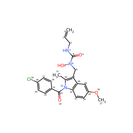 C=CCNC(=O)N(O)Cc1c(C)n(C(=O)c2ccc(Cl)cc2)c2ccc(OC)cc12